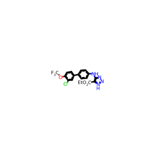 CCOC(=O)c1[nH]nnc1Nc1ccc(-c2ccc(OC(F)(F)F)c(Cl)c2)cc1